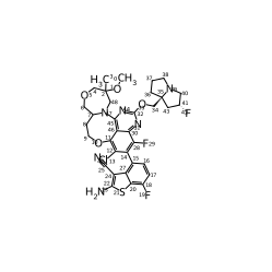 COC1(C)COCC2CCOc3c(Cl)c(-c4ccc(F)c5sc(N)c(C#N)c45)c(F)c4nc(OC[C@@]56CCCN5C[C@H](F)C6)nc(c34)N2C1